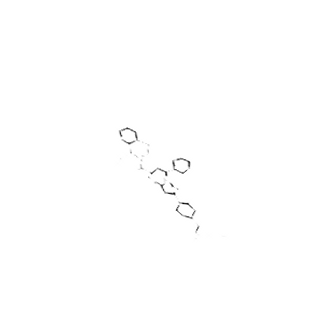 CCOC(=O)/C=C/c1ccc(-c2cc3nc(C(=O)N4CCc5ccccc5[C@H]4C)cc(-c4ccccc4)n3n2)c(F)c1